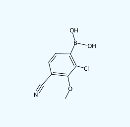 COc1c(C#N)ccc(B(O)O)c1Cl